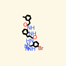 Cc1cccc(CC(=O)Nc2cccc3cc(C(=O)Nc4ccc(Br)cc4-c4nnn[nH]4)[nH]c23)c1